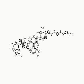 CCOCCOCCOc1ncc(-c2ccc(C(=O)NS(=O)(=O)c3cccc(N)n3)c(N3CCC(C)C3(C)C)n2)cc1C